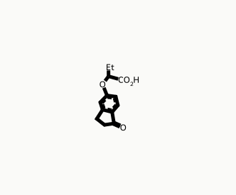 CCC(Oc1ccc2c(c1)CCC2=O)C(=O)O